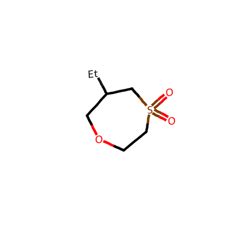 CCC1COCCS(=O)(=O)C1